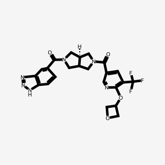 O=C(c1cnc(OC2COC2)c(C(F)(F)F)c1)N1CC2CN(C(=O)c3ccc4[nH]nnc4c3)C[C@H]2C1